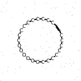 C1=CCCCCCCCCOOOOOOCCCCCCCCCC1